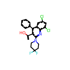 C=C(O)c1c(N2CCC(F)(F)CC2)nc2c(Cl)cc(Cl)cc2c1-c1ccccc1